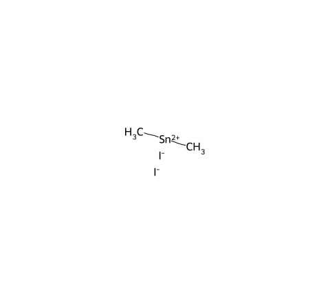 [CH3][Sn+2][CH3].[I-].[I-]